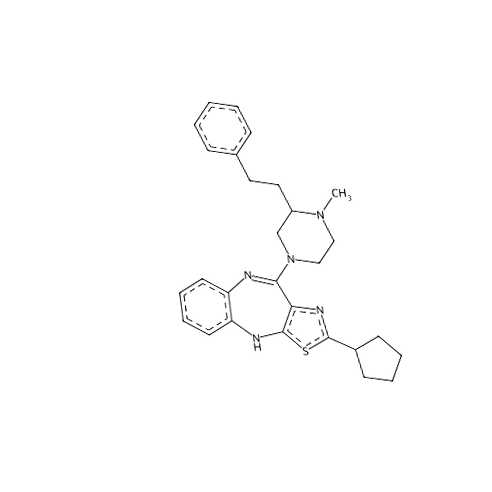 CN1CCN(C2=Nc3ccccc3Nc3sc(C4CCCC4)nc32)CC1CCc1ccccc1